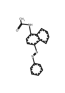 CC(=O)Nc1ccc(N=Nc2ccccc2)c2ccccc12